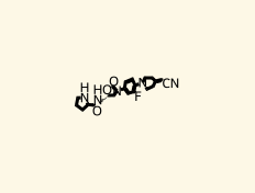 N#CC=C1CCN(c2ccc(N3C[C@H](CNC(=O)C4CCCN4)OC3=O)cc2F)CC1